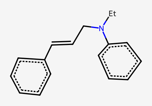 CCN(CC=Cc1ccccc1)c1ccccc1